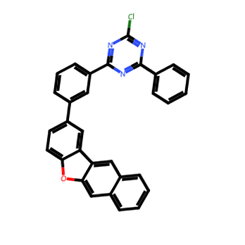 Clc1nc(-c2ccccc2)nc(-c2cccc(-c3ccc4oc5cc6ccccc6cc5c4c3)c2)n1